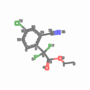 CCOC(=O)C(F)(F)c1ccc(Cl)cc1C#N